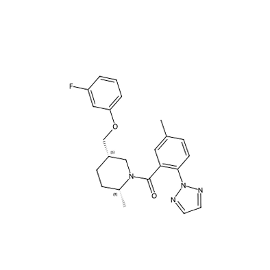 Cc1ccc(-n2nccn2)c(C(=O)N2C[C@@H](COc3cccc(F)c3)CC[C@H]2C)c1